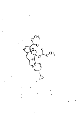 COC(=O)c1cnn(Cc2c[n+]3cc(C4CC4)ccc3n2C2(OC(=S)SC)COC2)c1